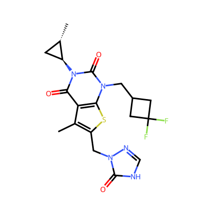 Cc1c(Cn2nc[nH]c2=O)sc2c1c(=O)n([C@H]1C[C@@H]1C)c(=O)n2CC1CC(F)(F)C1